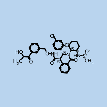 CC(O)C(=O)c1cccc(CONC(=O)[C@@H]2c3ccccc3C(=O)N([C@@H]3CCCC[C@H]3N[S+](C)[O-])[C@H]2c2ccc(Cl)cc2Cl)c1